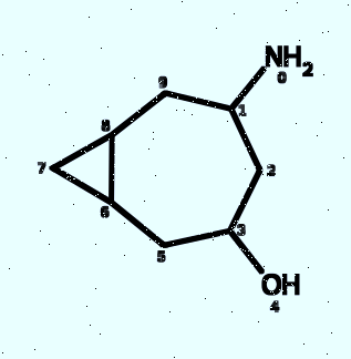 NC1CC(O)CC2CC2C1